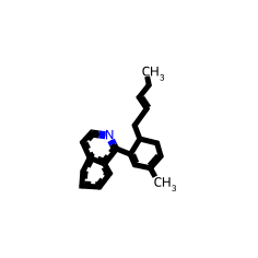 CCC=CCC1CC=C(C)C=C1c1nccc2ccccc12